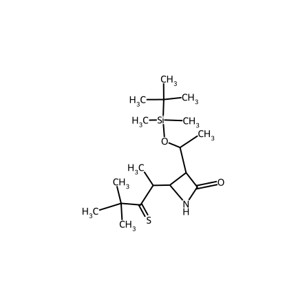 CC(O[Si](C)(C)C(C)(C)C)C1C(=O)NC1C(C)C(=S)C(C)(C)C